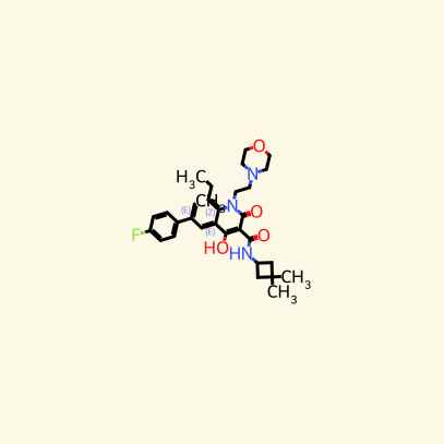 C\C=C(/C=c1/c(O)c(C(=O)NC2CC(C)(C)C2)c(=O)n(CCN2CCOCC2)/c1=C\CC)c1ccc(F)cc1